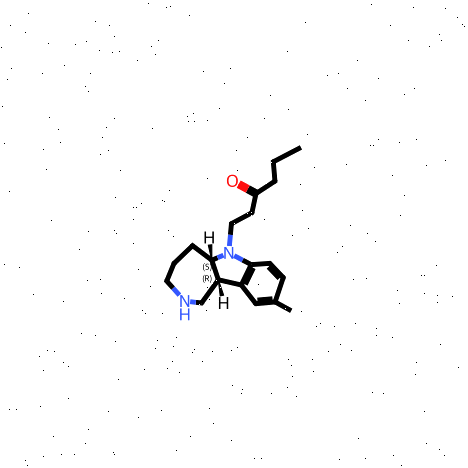 CCCC(=O)CCN1c2ccc(C)cc2[C@@H]2CNCCC[C@@H]21